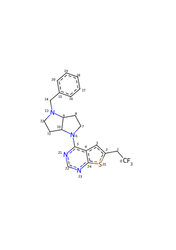 FC(F)(F)Cc1cc2c(N3CCC4C3CCN4Cc3ccccc3)ncnc2s1